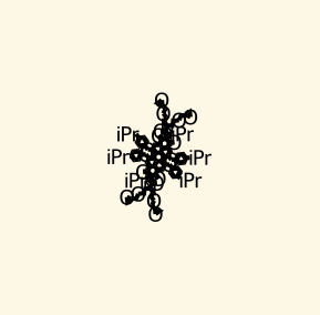 CC(C)c1ccc(Oc2cc3c4c(cc(Oc5ccc(C(C)C)cc5)c5c6c(Oc7ccc(C(C)C)cc7)cc7c8c(cc(Oc9ccc(C(C)C)cc9)c(c2c45)c86)C(=O)N(C(C(=O)N(CCOCC2CO2)CCOCC2CO2)C(C)C)C7=O)C(=O)N(C(C(=O)N(CCOCC2CO2)CCOCC2CO2)C(C)C)C3=O)cc1